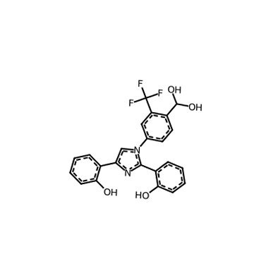 Oc1ccccc1-c1cn(-c2ccc(C(O)O)c(C(F)(F)F)c2)c(-c2ccccc2O)n1